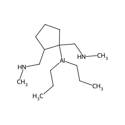 CC[CH2][Al]([CH2]CC)[C]1(CNC)CCCC1CNC